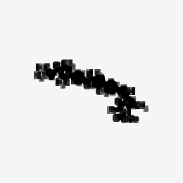 COC(=O)N[C@H](C(=O)N1C[C@@H](C)C[C@H]1c1nc(-c2ccc(-c3cc(F)c(NC(=O)c4ccc(N5C[C@H](C)N(C(=O)[C@H]6CC6(C)C)C[C@H]5C)nc4)cc3C(F)(F)F)cc2)c[nH]1)C(C)C